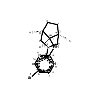 Brc1nnc(N2C[C@H]3CC[C@@H](C2)[C@H]3Nc2ncccn2)s1